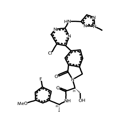 COc1cc(F)cc([C@@H](C)NC(=O)[C@@H](CO)N2Cc3ccc(-c4nc(Nc5cnn(C)n5)ncc4Cl)cc3C2=O)c1